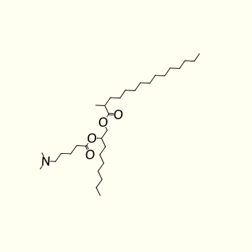 CCCCCCCCCCCCCC(C)C(=O)OCC(CCCCCCC)OC(=O)CCCCN(C)C